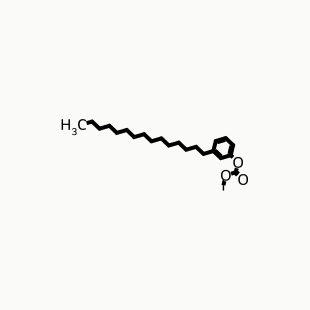 CCCCCCCCCCCCCCCc1cccc(OC(=O)OI)c1